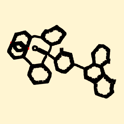 O=P(c1ccc(-c2cc3cccnc3c3ncccc23)cn1)(c1ccccc1-c1ccccc1)c1ccccc1-c1ccccc1